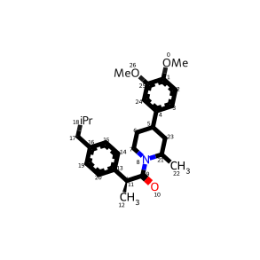 COc1ccc(C2CCN(C(=O)[C@@H](C)c3ccc(CC(C)C)cc3)C(C)C2)cc1OC